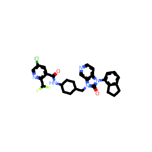 O=C(NC1CCC(Cn2c(=O)n(-c3cccc4c3CCC4)c3ccncc32)CC1)c1cc(Cl)cnc1C(F)F